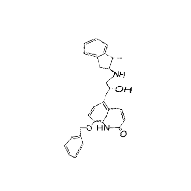 C[C@H]1c2ccccc2C[C@@H]1NC[C@H](O)c1ccc(OCc2ccccc2)c2[nH]c(=O)ccc12